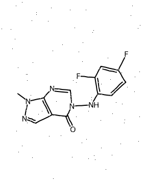 Cn1ncc2c(=O)n(Nc3ccc(F)cc3F)cnc21